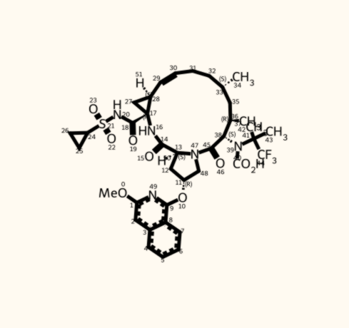 COc1cc2ccccc2c(O[C@@H]2C[C@H]3C(=O)N[C@]4(C(=O)NS(=O)(=O)C5CC5)C[C@H]4C=CCC[C@H](C)C[C@@H](C)[C@H](N(C(=O)O)C(C)(C)C(F)(F)F)C(=O)N3C2)n1